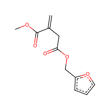 C=C(CC(=O)OCc1ccco1)C(=O)OC